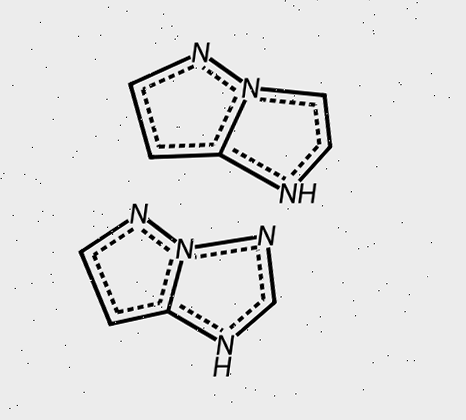 c1cc2[nH]ccn2n1.c1cc2[nH]cnn2n1